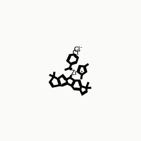 CC1=CC(C)[C](/[Zr+2](=[C](/C)c2ccccc2)[CH]2c3cc4c(cc3-c3cc5c(cc32)C(C)(C)C=C5)C=CC4(C)C)=C1.[Cl-].[Cl-]